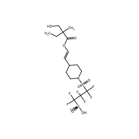 CCC(C)(CO)C(=O)O/C=C/C1CCN(S(=O)(=O)C(F)(F)C(F)(F)C(F)(F)S(=O)(=O)O)CC1